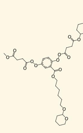 COC(=O)CCC(=O)OOc1ccc(OOC(=O)CCC(=O)OC2CCC(C)CC2)c(C(=O)OCCCCCCOC2CCCCO2)c1